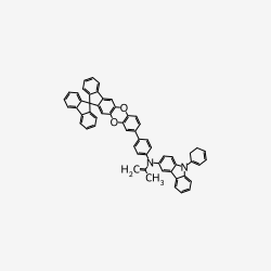 C=C(C)N(c1ccc(-c2ccc3c(c2)Oc2cc4c(cc2O3)-c2ccccc2C42c3ccccc3-c3ccccc32)cc1)c1ccc2c(c1)c1ccccc1n2C1=CC=CCC1